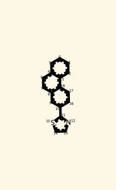 c1ccc2c(c1)ccc1cc(-c3nccs3)ccc12